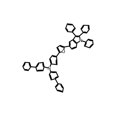 c1ccc(-c2ccc(N(c3ccc(-c4ccccc4)cc3)c3ccc(-c4ccc(-c5ccc6c(c5)c(-c5ccccc5)c(-c5ccccc5)n6-c5ccccc5)o4)cc3)cc2)cc1